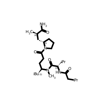 CC[C@H](C)C(CCC(=O)N1CCC[C@H]1C[C@@H](C)C(N)=O)N(C)C(=O)[C@@H](NC(=O)CC(C)C)C(C)C